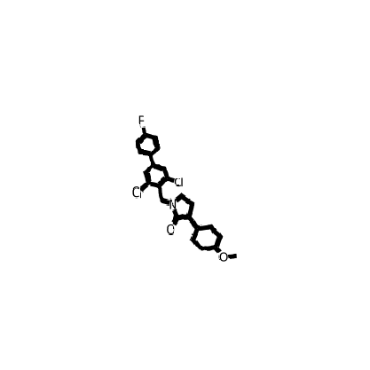 COC1CCC(C2CCN(Cc3c(Cl)cc(-c4ccc(F)cc4)cc3Cl)C2=O)CC1